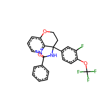 O=C(NC1(c2ccc(OC(F)(F)F)c(F)c2)CCOc2cccnc21)c1ccccc1